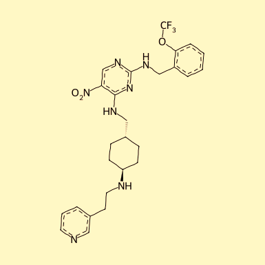 O=[N+]([O-])c1cnc(NCc2ccccc2OC(F)(F)F)nc1NC[C@H]1CC[C@H](NCCc2cccnc2)CC1